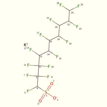 O=S(=O)([O-])C(F)C(F)(F)C(F)(F)C(F)C(F)C(F)C(F)C(F)C(F)C(F)F.[K+]